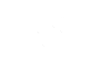 O=C1NCCO1.c1cnc2nccnc2c1